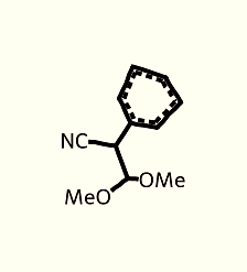 COC(OC)C(C#N)c1ccccc1